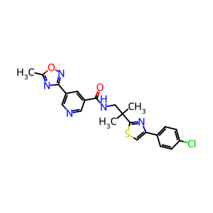 Cc1nc(-c2cncc(C(=O)NCC(C)(C)c3nc(-c4ccc(Cl)cc4)cs3)c2)no1